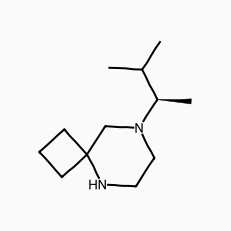 CC(C)[C@@H](C)N1CCNC2(CCC2)C1